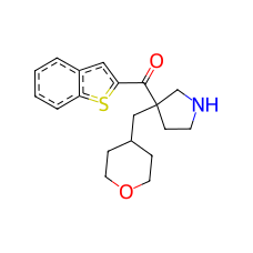 O=C(c1cc2ccccc2s1)C1(CC2CCOCC2)CCNC1